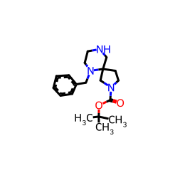 CC(C)(C)OC(=O)N1CCC2(CNCCN2Cc2ccccc2)C1